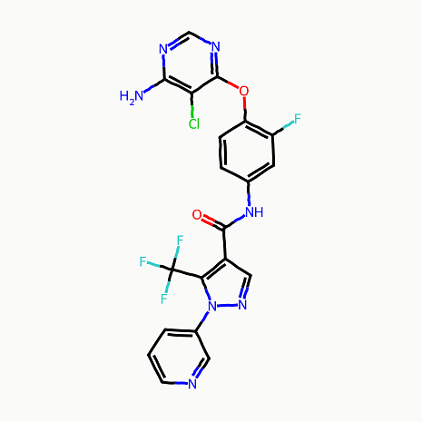 Nc1ncnc(Oc2ccc(NC(=O)c3cnn(-c4cccnc4)c3C(F)(F)F)cc2F)c1Cl